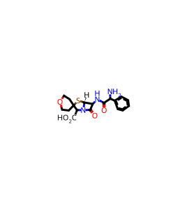 NC(C(=O)NC1C(=O)N2C(C(=O)O)C3(CCOCC3)S[C@@H]12)c1ccccc1